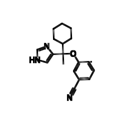 CC(Oc1[c]ccc(C#N)c1)(c1c[nH]cn1)C1CCCCC1